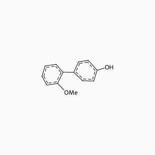 COc1ccccc1-c1ccc(O)cc1